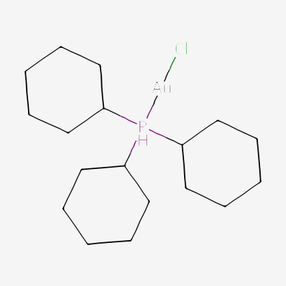 [Cl][Au][PH](C1CCCCC1)(C1CCCCC1)C1CCCCC1